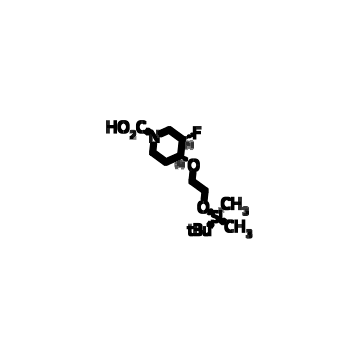 CC(C)(C)[Si](C)(C)OCCO[C@@H]1CCN(C(=O)O)C[C@@H]1F